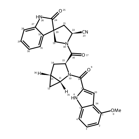 COc1cccc2[nH]c(C(=O)N3[C@@H]4C[C@@H]4C[C@H]3C(=O)N3C[C@]4(C[C@H]3C#N)C(=O)Nc3ccccc34)cc12